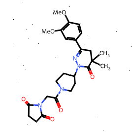 COc1ccc(C2=NN(C3CCN(C(=O)CN4C(=O)CCC4=O)CC3)C(=O)C(C)(C)C2)cc1OC